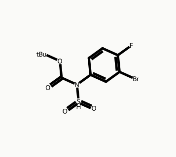 CC(C)(C)OC(=O)N(c1ccc(F)c(Br)c1)[SH](=O)=O